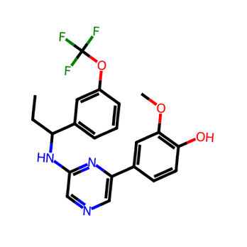 CCC(Nc1cncc(-c2ccc(O)c(OC)c2)n1)c1cccc(OC(F)(F)F)c1